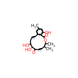 Cc1cc(O)c2c(c1)/C=C/C[C@H](O)C(O)C(=O)/C=C\C(C)[C@H](C)OC2=O